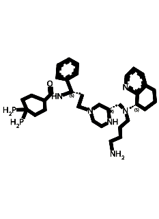 NCCCCN(C[C@H]1CN(CC[C@H](NC(=O)C2CCC(P)(P)CC2)c2ccccc2)CCN1)[C@H]1CCCc2cccnc21